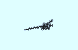 CCCCCCCCCCCCCCC(C(=O)O)C(=O)C(O)(OCCCCCC)C(O)CC